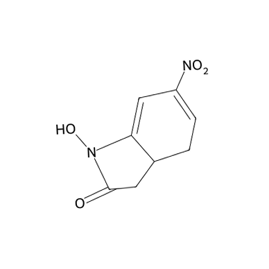 O=C1CC2CC=C([N+](=O)[O-])C=C2N1O